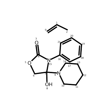 C=CC.O=C1OCC(O)(N2CCCCC2)N1c1ccccc1